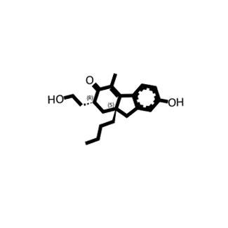 CCCC[C@]12Cc3cc(O)ccc3C1=C(C)C(=O)[C@@H](CCO)C2